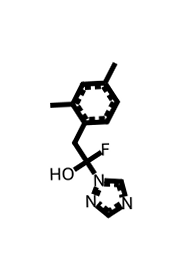 Cc1ccc(CC(O)(F)n2cncn2)c(C)c1